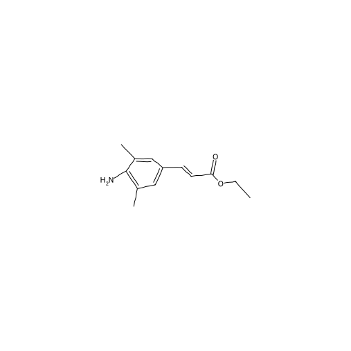 CCOC(=O)/C=C/c1cc(C)c(N)c(C)c1